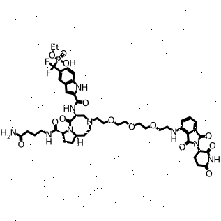 CCOP(=O)(O)C(F)(F)c1ccc2[nH]c(C(=O)N[C@H]3CN(CCOCCOCCOCCNc4cccc5c4C(=O)N(C4CCC(=O)NC4=O)C5=O)CC[C@H]4CC[C@@H](C(=O)NCCCC(N)=O)N4C3=O)cc2c1